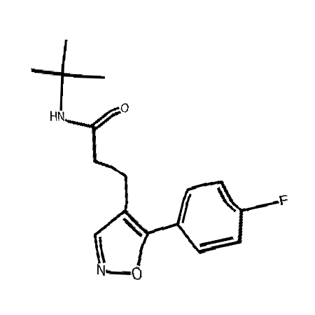 CC(C)(C)NC(=O)CCc1cnoc1-c1ccc(F)cc1